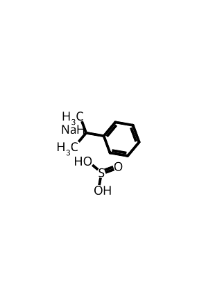 CC(C)c1ccccc1.O=S(O)O.[NaH]